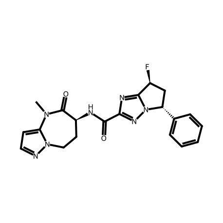 CN1C(=O)[C@@H](NC(=O)c2nc3n(n2)[C@@H](c2ccccc2)C[C@@H]3F)CCn2nccc21